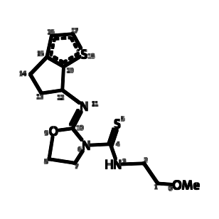 COCCNC(=S)N1CCO/C1=N\C1CCc2ccsc21